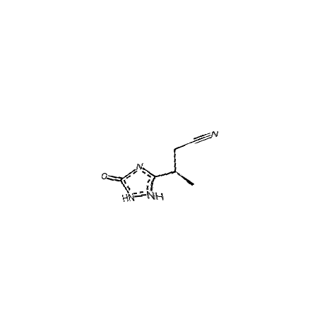 C[C@H](CC#N)c1nc(=O)[nH][nH]1